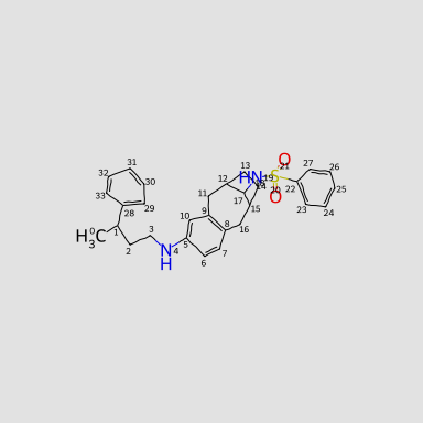 CC(CCNc1ccc2c(c1)CC1CCC(C2)C1NS(=O)(=O)c1ccccc1)c1ccccc1